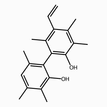 C=Cc1c(C)c(C)c(O)c(-c2c(C)cc(C)c(C)c2O)c1C